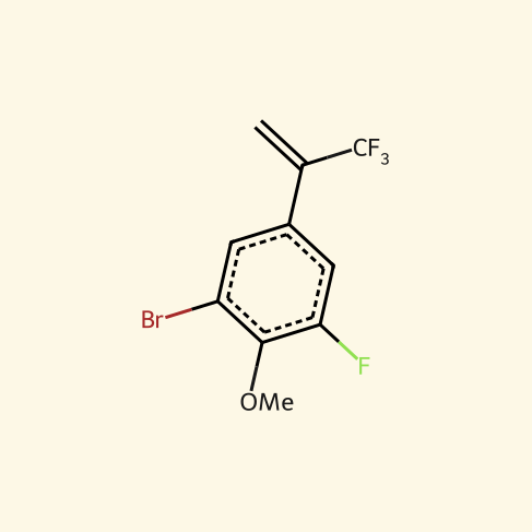 C=C(c1cc(F)c(OC)c(Br)c1)C(F)(F)F